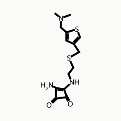 CN(C)Cc1cc(CSCCNc2c(N)c(=O)c2=O)cs1